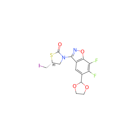 O=C1S[C@@H](CI)CN1c1noc2c(F)c(F)c(C3OCCO3)cc12